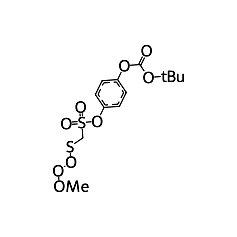 COOOSCS(=O)(=O)Oc1ccc(OC(=O)OC(C)(C)C)cc1